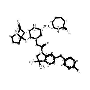 C[C@@H]1CN(CC(=O)N2CC(C)(C)c3ncc(Cc4ccc(F)cc4)cc32)[C@H](CC23CCCN2C(=O)C3)CN1.O=C1CCCCCN1